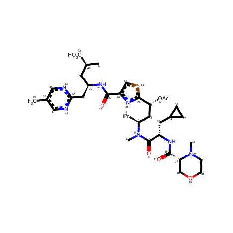 CC(=O)O[C@H](C[C@H](C(C)C)N(C)C(=O)[C@H](CC1CC1)NC(=O)[C@H]1COCCN1C)c1nc(C(=O)N[C@@H](Cc2ncc(C(F)(F)F)cn2)C[C@H](C)C(=O)O)cs1